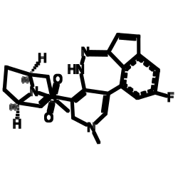 CN1C=C2C(=C(C3=C[C@H]4CC[C@@H](C3)N4S(C)(=O)=O)C1)NN=C1C=Cc3cc(F)cc2c31